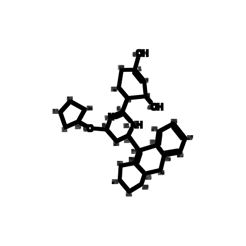 OC1=CC(O)C(C2=NC(OC3CCCC3)CC(C3=C4CCCCC4Cc4ccccc43)N2)CC1